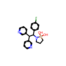 OS1(O)CCCN1C(c1ccc(F)cc1)C(c1cccnc1)c1cccnc1